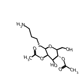 CC(=O)OC1C(SCCCN)OC(CO)[C@H](OC(C)=O)C1O